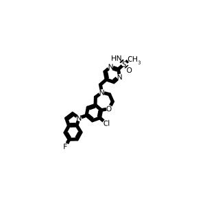 CS(=N)(=O)c1ncc(CN2CCOc3c(Cl)cc(-n4ccc5cc(F)ccc54)cc3C2)cn1